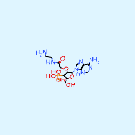 NCCNC(=O)CO[C@H]1C([PH](O)(O)O)[C@@H](CO)O[C@H]1n1cnc2c1NCN=C2N